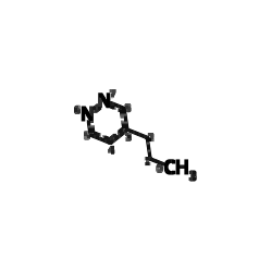 CCCc1ccnnc1